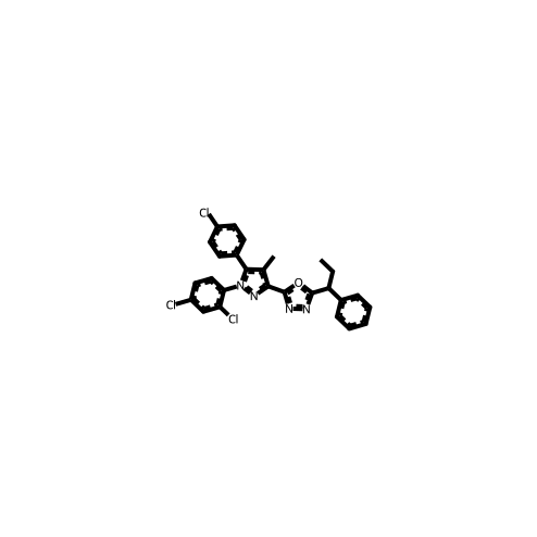 CCC(c1ccccc1)c1nnc(-c2nn(-c3ccc(Cl)cc3Cl)c(-c3ccc(Cl)cc3)c2C)o1